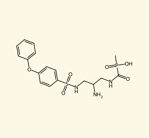 CP(=O)(O)C(=O)NCC(N)CNS(=O)(=O)c1ccc(Oc2ccccc2)cc1